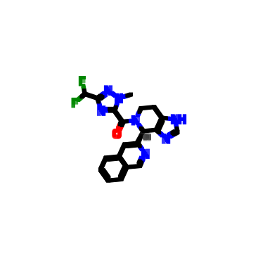 Cn1nc(C(F)F)nc1C(=O)N1CCc2[nH]cnc2[C@H]1c1cc2ccccc2cn1